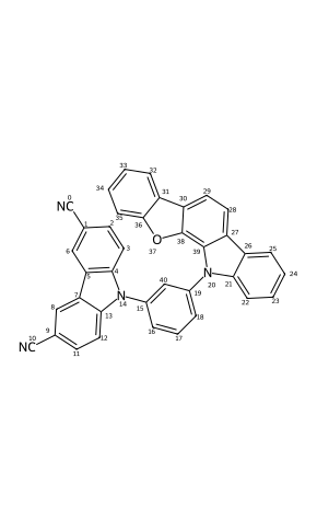 N#Cc1ccc2c(c1)c1cc(C#N)ccc1n2-c1cccc(-n2c3ccccc3c3ccc4c5ccccc5oc4c32)c1